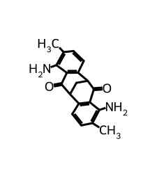 Cc1ccc2c(c1N)C(=O)C1CC2C(=O)c2c1ccc(C)c2N